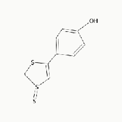 Oc1ccc(C2=CS(=S)CS2)cc1